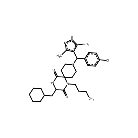 CCCCN1C(=O)C(CC2CCCCC2)NC(=O)C12CCN(C(c1ccc(Cl)cc1)c1c(C)n[nH]c1C)CC2